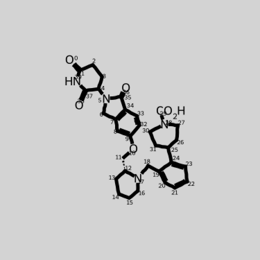 O=C1CCC(N2Cc3cc(OC[C@H]4CCCCN4Cc4ccccc4C4CCN(C(=O)O)CC4)ccc3C2=O)C(=O)N1